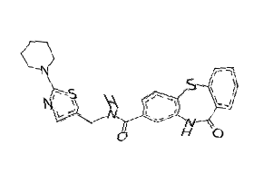 O=C(NCc1cnc(N2CCCCC2)s1)c1ccc2c(c1)NC(=O)c1ccccc1S2